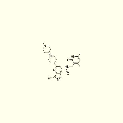 Cc1cc(C)c(CNC(=O)c2cc(C3CCN(C4CCN(C)CC4)CC3)nc3c2cnn3C(C)C)c(=O)[nH]1